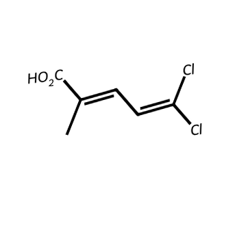 CC(=CC=C(Cl)Cl)C(=O)O